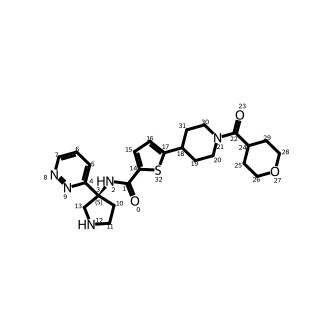 O=C(N[C@@]1(c2cccnn2)CCNC1)c1ccc(C2CCN(C(=O)C3CCOCC3)CC2)s1